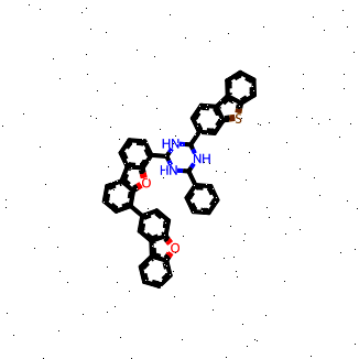 c1ccc(C2NC(c3ccc4c(c3)sc3ccccc34)NC(c3cccc4c3oc3c(-c5ccc6oc7ccccc7c6c5)cccc34)N2)cc1